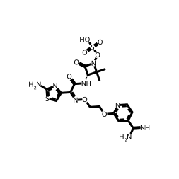 CC1(C)[C@H](NC(=O)/C(=N\OCCOc2cc(C(=N)N)ccn2)c2csc(N)n2)C(=O)N1OS(=O)(=O)O